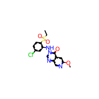 CCS(=O)(=O)c1ccc(Cl)cc1Nn1cnc2cnc(OC)cc2c1=O